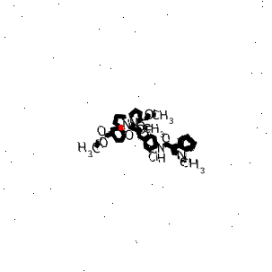 CCOC(=O)C1CCC(OC(C(=O)Cc2cc(Cl)c(NC(=O)c3cn(C)c4ccccc34)cc2F)(N2CCCC2)N2CCC[C@]2(COC)OC)CC1